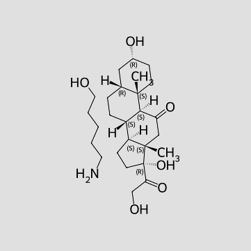 C[C@]12CC[C@@H](O)C[C@H]1CC[C@@H]1[C@@H]2C(=O)C[C@@]2(C)[C@H]1CC[C@]2(O)C(=O)CO.NCCCCCO